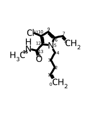 C=CCCCn1c(C=C)cc(Cl)c1C(=O)NC